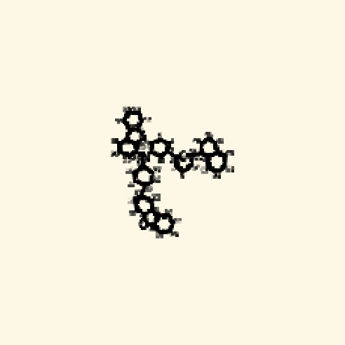 c1cc(-c2cccc(N(c3ccc(-c4ccc5oc6ccccc6c5c4)cc3)c3cccc4c3sc3ccccc34)c2)cc(-c2cccc3ccccc23)c1